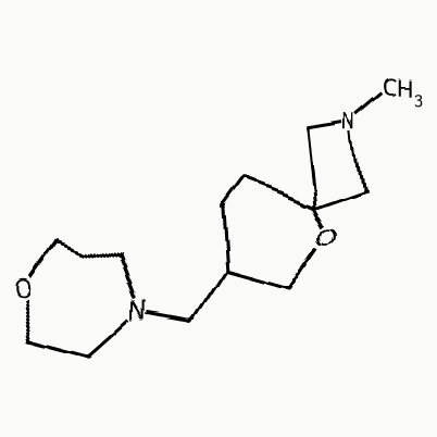 CN1CC2(CCC(CN3CCOCC3)CO2)C1